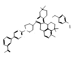 COc1ccc(CO[C@H]2CC(C)(C)Cc3nc(C4CCN(c5ncc(-c6cccc(C(C)=O)c6)cn5)CC4)c([C@@H](F)c4ccc(C)cc4)c(C4CCC(F)(F)CC4)c32)cc1